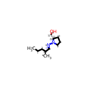 CCC[C@H](C)/C=N/N1CCC[C@H]1CO